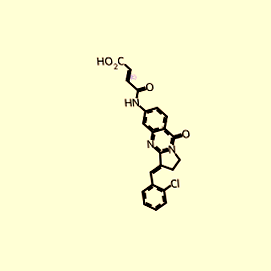 O=C(O)/C=C/C(=O)Nc1ccc2c(=O)n3c(nc2c1)C(=Cc1ccccc1Cl)CC3